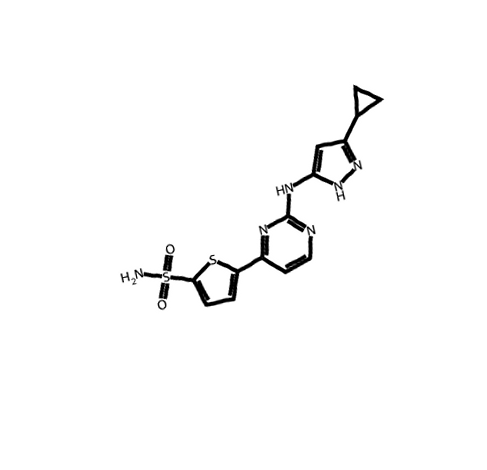 NS(=O)(=O)c1ccc(-c2ccnc(Nc3cc(C4CC4)n[nH]3)n2)s1